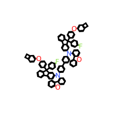 Fc1ccc(C2(c3ccc(Oc4ccc5c(c4)CC5)cc3)c3ccccc3-c3ccc(N(c4ccc(-c5ccc(N(c6ccc7c(c6)C(c6ccc(F)cc6)(c6ccc(Oc8ccc9c(c8)CC9)cc6)c6ccccc6-7)c6cccc7oc8ccccc8c67)cc5)cc4)c4cccc5oc6ccccc6c45)cc32)cc1